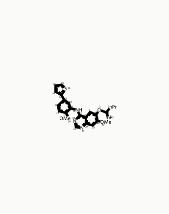 CCCC(CCC)Oc1cc2c(Nc3cc(-c4cccs4)ccc3OC)ncnc2cc1OC